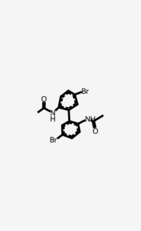 CC(=O)Nc1ccc(Br)cc1-c1cc(Br)ccc1NC(C)=O